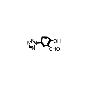 O=Cc1cc(-n2ncnn2)ccc1O